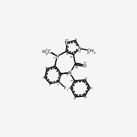 CN1c2cccc(F)c2N(c2ccccc2)C(=O)c2c1ncn2C